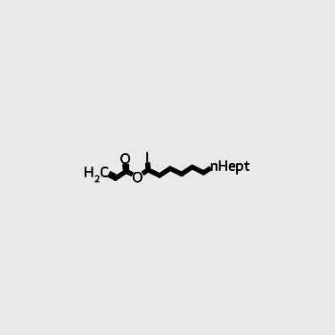 C=CC(=O)OC(I)CCCCCCCCCCCC